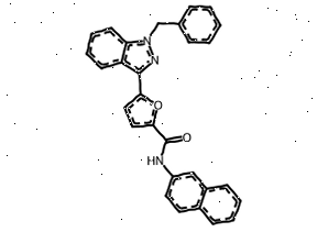 O=C(Nc1ccc2ccccc2c1)c1ccc(-c2nn(Cc3ccccc3)c3ccccc23)o1